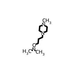 CN1CCN(CCCON(C)C)CC1